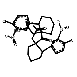 O=C(O)CC1(C(=O)C2(CC(=O)O)CCCCC2c2ccc(Cl)c([N+](=O)[O-])c2)CCCCC1c1ccc(Cl)c([N+](=O)[O-])c1